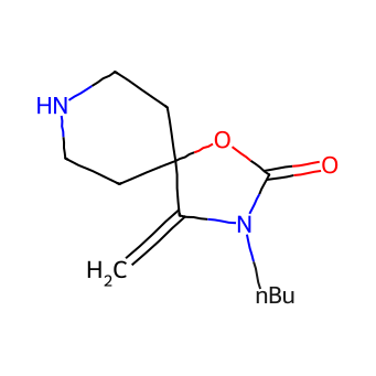 C=C1N(CCCC)C(=O)OC12CCNCC2